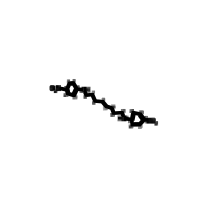 O=[N+]([O-])c1ccc(NCCCCCCCCNc2ccc([N+](=O)[O-])cc2)cc1